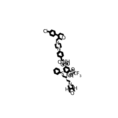 O=C(NS(=O)(=O)c1ccc(N[C@H](CCN2C[C@H]3COC[C@H]3C2)CSc2ccccc2)c(S(=O)(=O)C(F)(F)F)c1)c1ccc(N2CCN(CC3=C(c4ccc(Cl)cc4)CCOC3)CC2)cc1